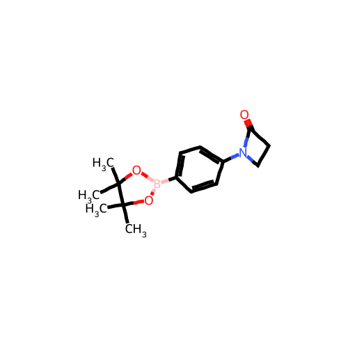 CC1(C)OB(c2ccc(N3CCC3=O)cc2)OC1(C)C